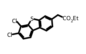 CCOC(=O)Cc1ccc2c(c1)sc1c(Cl)c(Cl)ccc12